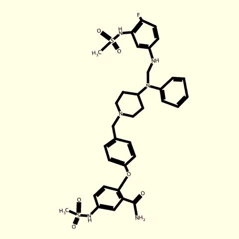 CS(=O)(=O)Nc1ccc(Oc2ccc(CN3CCC(N(CNc4ccc(F)c(NS(C)(=O)=O)c4)c4ccccc4)CC3)cc2)c(C(N)=O)c1